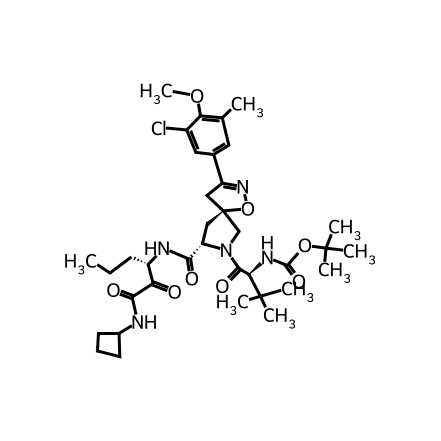 CCC[C@H](NC(=O)[C@@H]1C[C@]2(CC(c3cc(C)c(OC)c(Cl)c3)=NO2)CN1C(=O)[C@@H](NC(=O)OC(C)(C)C)C(C)(C)C)C(=O)C(=O)NC1CCC1